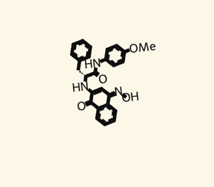 COc1ccc(NC(=O)[C@@H](Cc2ccccc2)NC2=C/C(=N/O)c3ccccc3C2=O)cc1